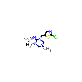 CN1CN(C)/C(=N\[N+](=O)[O-])N(CC2CN=C(Cl)S2)C1